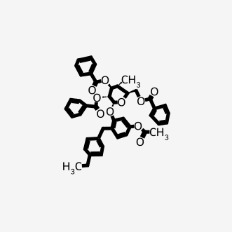 CCc1ccc(Cc2ccc(OC(C)=O)cc2O[C@H]2O[C@H](COC(=O)c3ccccc3)[C@@H](C)[C@H](OC(=O)c3ccccc3)[C@H]2OC(=O)c2ccccc2)cc1